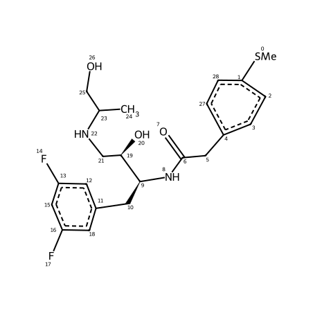 CSc1ccc(CC(=O)N[C@@H](Cc2cc(F)cc(F)c2)[C@H](O)CNC(C)CO)cc1